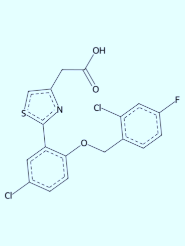 O=C(O)Cc1csc(-c2cc(Cl)ccc2OCc2ccc(F)cc2Cl)n1